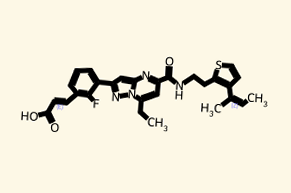 C/C=C(/C)c1ccsc1CCNC(=O)c1cc(CC)n2nc(-c3cccc(/C=C/C(=O)O)c3F)cc2n1